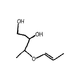 CC=COC(C)C(O)CO